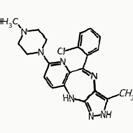 Cc1[nH]nc2c1N=C(c1ccccc1Cl)c1nc(N3CCN(C)CC3)ccc1N2